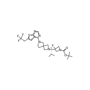 CC(C)[C@H](N1CC2(CCN(c3ncnc4sc(CC(F)(F)F)cc34)C2)C1)C1(F)CN(C(=O)OC(C)(C)C)C1